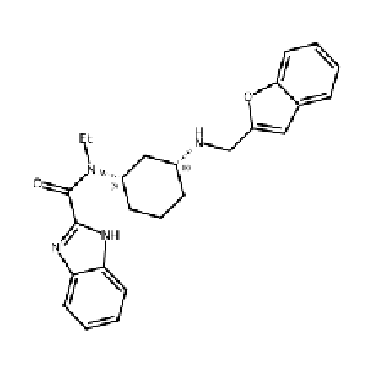 CCN(C(=O)c1nc2ccccc2[nH]1)[C@H]1CCC[C@@H](NCc2cc3ccccc3o2)C1